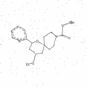 CCOC1CC(c2ccccn2)OC2(CCN(C(=O)OC(C)(C)C)CC2)C1